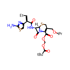 CC/C=C(/C(=O)N[C@@H]1C(=O)N2C(C(=O)OCOC(=O)C(C)(C)C)=C(COC(C)C)CS[C@H]12)c1csc(N)n1